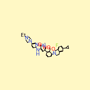 CCN1CCN(c2ccc(Nc3cc(-c4cccc(N5CCc6cc(C7CC7)cc(F)c6C5=O)c4CO)cn(C)c3=O)nc2)CC1